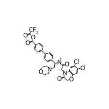 CN(C(=O)CN1C(=O)COc2cc(Cl)c(Cl)cc21)[C@@H](CN1CCOCC1)c1ccc(-c2ccc(C(=O)OC(=O)C(F)(F)F)cc2)cc1